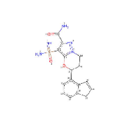 N=S(N)(=O)c1c(C(N)=O)nn2c1OC(c1cccc3c1C=CC3)CC2